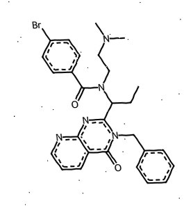 CCC(c1nc2ncccc2c(=O)n1Cc1ccccc1)N(CCN(C)C)C(=O)c1ccc(Br)cc1